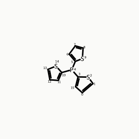 c1csc(P(c2cccs2)c2cccs2)c1